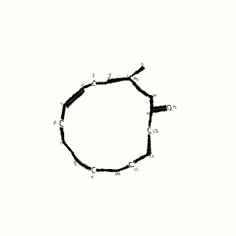 C[C@@H]1CCC=CCCCCCCCCC(=O)C1